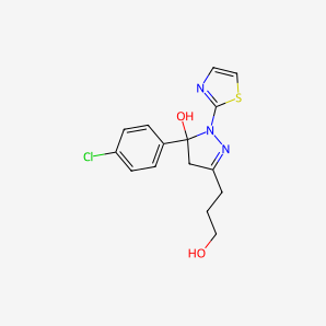 OCCCC1=NN(c2nccs2)C(O)(c2ccc(Cl)cc2)C1